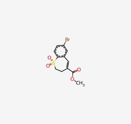 COC(=O)C1=Cc2cc(Br)ccc2S(=O)(=O)CC1